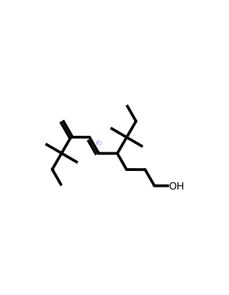 C=C(/C=C/C(CCCO)C(C)(C)CC)C(C)(C)CC